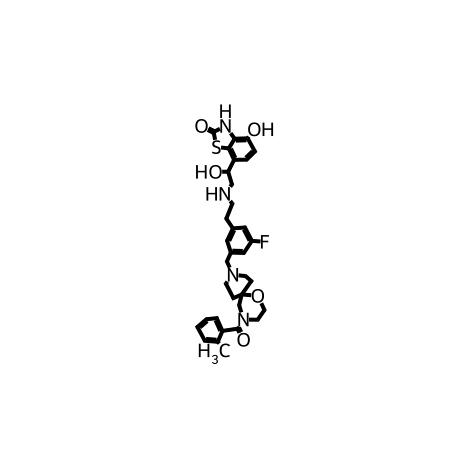 Cc1ccccc1C(=O)N1CCOC2(CCN(Cc3cc(F)cc(CCNCC(O)c4ccc(O)c5[nH]c(=O)sc45)c3)CC2)C1